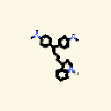 CC[n+]1ccc(C=CC=C(c2ccc(N(C)C)cc2)c2ccc(N(C)C)cc2)c2ccccc21